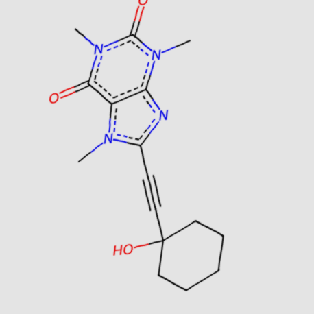 Cn1c(=O)c2c(nc(C#CC3(O)CCCCC3)n2C)n(C)c1=O